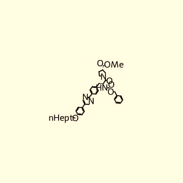 CCCCCCCOc1ccc(-c2cnc(-c3ccc(C[C@H](NC(=O)OCc4ccccc4)C(=O)N4CC[C@H](C(=O)OC)C4)cc3)nc2)cc1